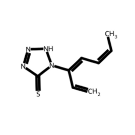 C=C/C(=C\C=C/C)n1[nH]nnc1=S